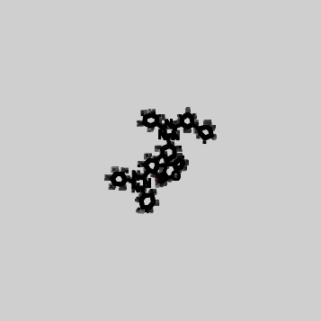 c1ccc(-c2cccc(-c3nc(-c4ccccc4)nc(-c4ccc5c(c4)-c4ccc(-c6nc(-c7ccccc7)nc(-c7ccccc7)n6)cc4C54c5ccccc5Oc5ccccc54)n3)c2)cc1